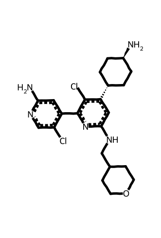 Nc1cc(-c2nc(NCC3CCOCC3)cc([C@H]3CC[C@H](N)CC3)c2Cl)c(Cl)cn1